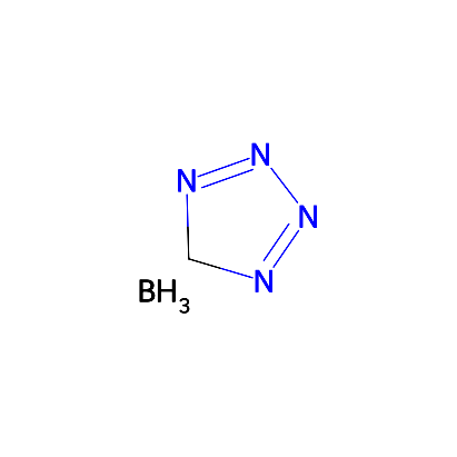 B.C1N=NN=N1